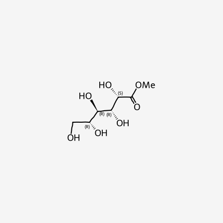 COC(=O)[C@@H](O)[C@H](O)[C@H](O)[C@H](O)CO